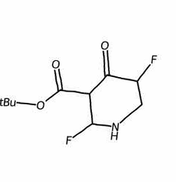 CC(C)(C)OC(=O)C1C(=O)C(F)CNC1F